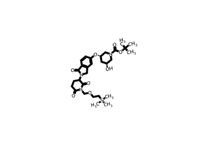 CC(C)(C)OC(=O)N1C[C@@H](O)C[C@H](Oc2ccc3c(c2)CN(C2CCC(=O)N(COCC[Si](C)(C)C)C2=O)C3=O)C1